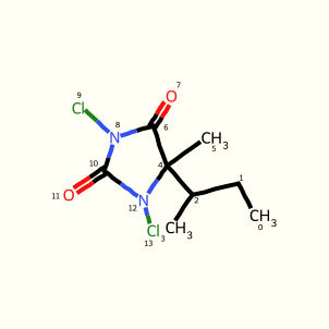 CCC(C)C1(C)C(=O)N(Cl)C(=O)N1Cl